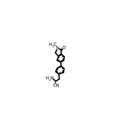 CN1Cc2cc(-c3ccc(C[C@H](N)C#N)cc3)ccc2C1=O